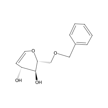 O[C@H]1[C@H](O)C=CO[C@@H]1COCc1ccccc1